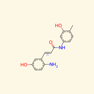 Cc1ccc(NC(=O)/C=C/c2cc(O)ccc2N)cc1O